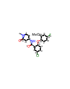 [CH2]n1ccc(NC(=O)c2cc(Cl)ccc2Oc2ccc(F)cc2OC)cc1=O